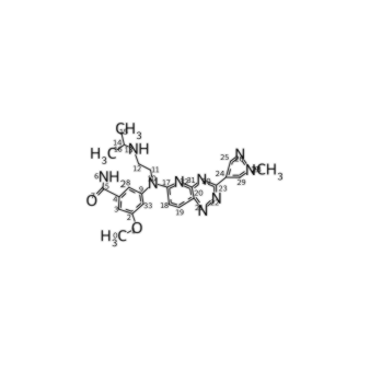 COc1cc(C(N)=O)cc(N(CCNC(C)C)c2ccc3nnc(-c4cnn(C)c4)nc3n2)c1